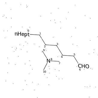 CCCCCCCCCCCCC=O.CN(C)C